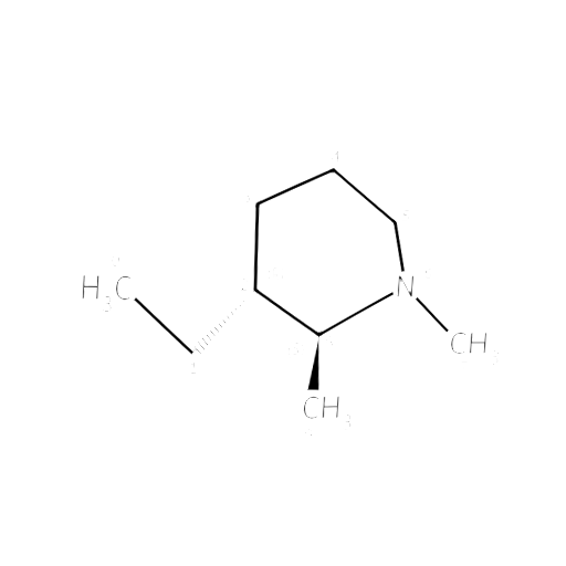 CC[C@@H]1CCCN(C)[C@H]1C